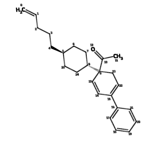 C=CCCC[C@H]1CC[C@H](C2(C(C)=O)C=CC(c3ccccc3)=CC2)CC1